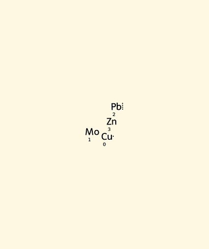 [Cu].[Mo].[Pb].[Zn]